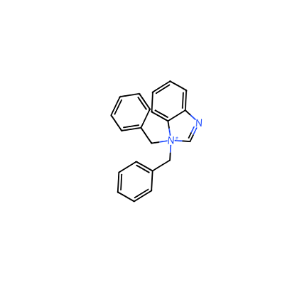 C1=Nc2ccccc2[N+]1(Cc1ccccc1)Cc1ccccc1